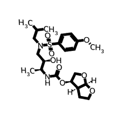 COc1ccc(S(=O)(=O)N(CC(C)C)C[C@@H](O)[C@H](C)NC(=O)O[C@H]2CO[C@H]3OCC[C@H]32)cc1